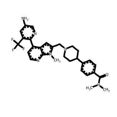 CN(C)C(=O)c1ccc(C2CCN(Cc3cc4c(-c5ncc(N)cc5C(F)(F)F)ccnc4n3C)CC2)cc1